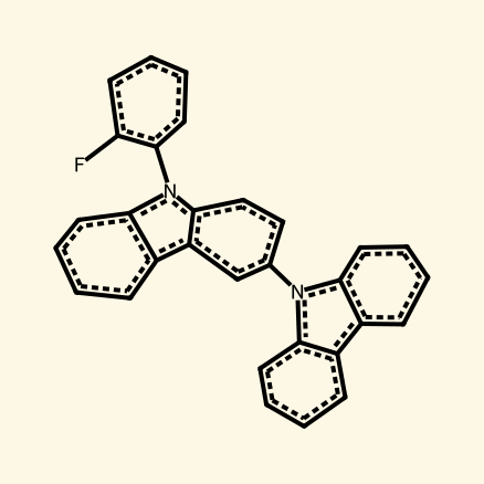 Fc1ccccc1-n1c2ccccc2c2cc(-n3c4ccccc4c4ccccc43)ccc21